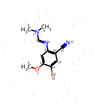 COc1cc(N=CN(C)C)c(C#N)cc1Br